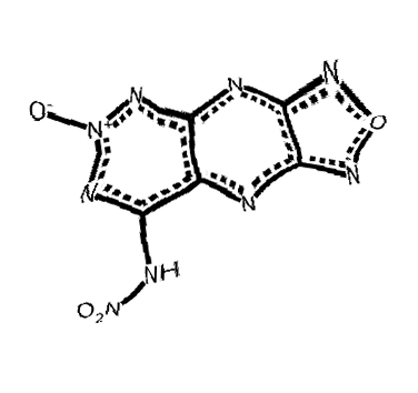 O=[N+]([O-])Nc1n[n+]([O-])nc2nc3nonc3nc12